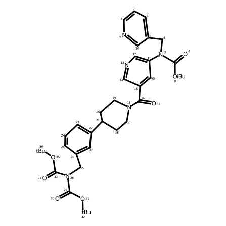 CC(C)COC(=O)N(Cc1cccnc1)c1cncc(C(=O)N2CCC(c3cccc(CN(C(=O)OC(C)(C)C)C(=O)OC(C)(C)C)c3)CC2)c1